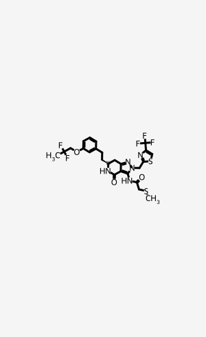 CSCC(=O)Nc1c2c(nn1Cc1nc(C(F)(F)F)cs1)C[C@H](CCc1cccc(OCC(C)(F)F)c1)NC2=O